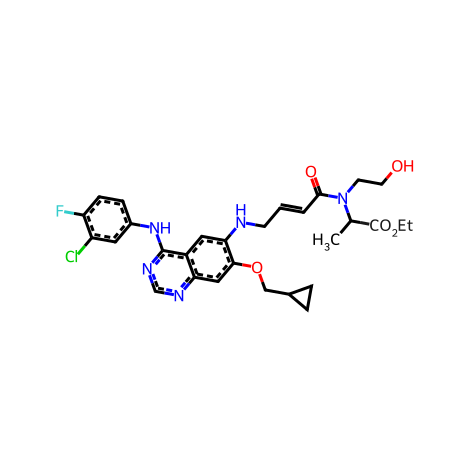 CCOC(=O)C(C)N(CCO)C(=O)C=CCNc1cc2c(Nc3ccc(F)c(Cl)c3)ncnc2cc1OCC1CC1